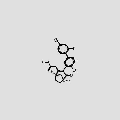 C=C(CC1=C(c2cc(-c3ccc(Cl)cc3F)ccc2CC)C(=O)[C@@H]2CC[C@H]1C2)SCC